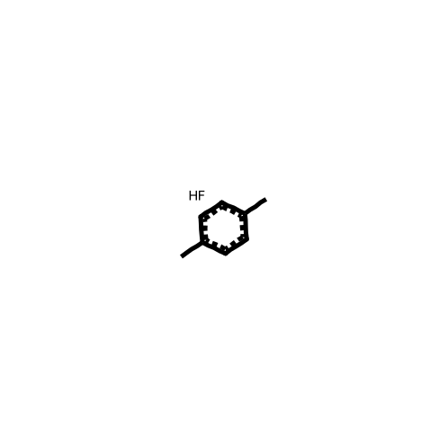 Cc1ccc(C)cc1.F